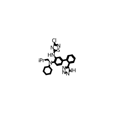 CC(C)CN(c1ccc(-c2ccccc2-c2nnn[nH]2)cc1Nc1nc(Cl)ns1)C1CCCCC1